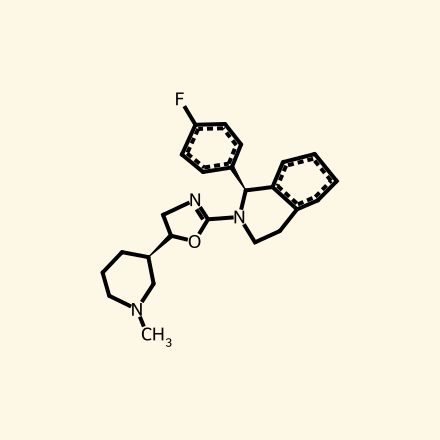 CN1CCC[C@@H](C2CN=C(N3CCc4ccccc4[C@@H]3c3ccc(F)cc3)O2)C1